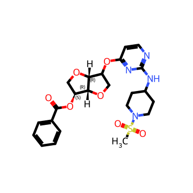 CS(=O)(=O)N1CCC(Nc2nccc(OC3CO[C@@H]4[C@@H](OC(=O)c5ccccc5)CO[C@H]34)n2)CC1